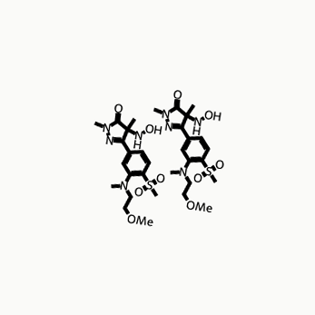 COCCN(C)c1cc(C2=NN(C)C(=O)C2(C)NO)ccc1S(C)(=O)=O.COCCN(C)c1cc(C2=NN(C)C(=O)C2(C)NO)ccc1S(C)(=O)=O